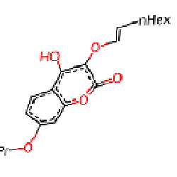 CCCCCCC=COc1c(O)c2ccc(OC(C)C)cc2oc1=O